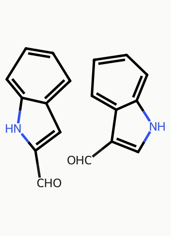 O=Cc1c[nH]c2ccccc12.O=Cc1cc2ccccc2[nH]1